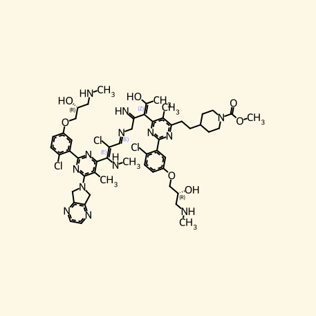 CNC[C@@H](O)COc1ccc(Cl)c(-c2nc(CCC3CCN(C(=O)OC)CC3)c(C)c(/C(C(=N)C/N=C/C(Cl)=C(\NC)c3nc(-c4cc(OC[C@H](O)CNC)ccc4Cl)nc(N4Cc5nccnc5C4)c3C)=C(\C)O)n2)c1